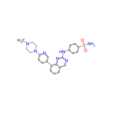 CN1CCN(c2ccc(-c3cccc4cnc(Nc5ccc(S(N)(=O)=O)cc5)nc34)cn2)CC1